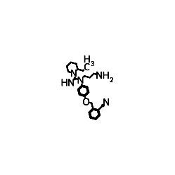 CCC1CCCCN1C(=N)N(CCCN)c1ccc(OCc2ccccc2C#N)cc1